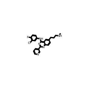 CNCCCc1ccc2nc(-c3cccnc3)nc(Nc3ccc(F)c(Cl)c3)c2c1